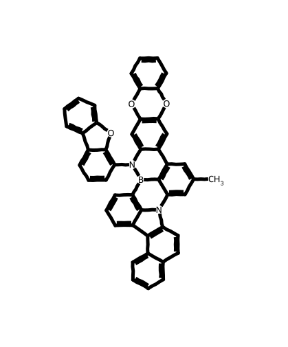 Cc1cc2c3c(c1)-n1c4ccc5ccccc5c4c4cccc(c41)B3N(c1cccc3c1oc1ccccc13)c1cc3c(cc1-2)Oc1ccccc1O3